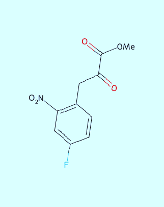 COC(=O)C(=O)Cc1ccc(F)cc1[N+](=O)[O-]